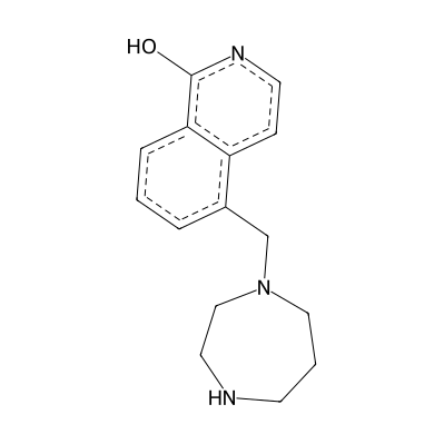 Oc1nccc2c(CN3CCCNCC3)cccc12